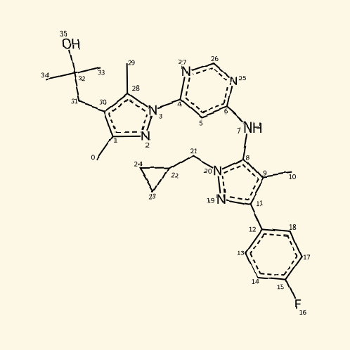 Cc1nn(-c2cc(Nc3c(C)c(-c4ccc(F)cc4)nn3CC3CC3)ncn2)c(C)c1CC(C)(C)O